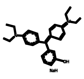 CCN(CC)c1ccc(C(=C2C=CC(=[N+](CC)CC)C=C2)c2cccc(O)c2)cc1.[NaH]